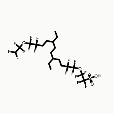 CCC(CCC(CC)CCC(F)(F)C(F)(F)OC(F)(F)C(F)(F)S(=O)(=O)O)CCC(F)(F)C(F)(F)OC(F)(F)C(F)F